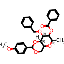 COc1ccc(C2OCC3O[C@H](C)C(OC(=O)c4ccccc4)[C@H](OCc4ccccc4)[C@@H]3O2)cc1